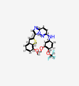 COc1cc(Nc2ccc3ncc(-c4cc5cccc(OC)c5s4)n3n2)ccc1OC(F)(F)F